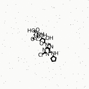 O=P(O)(O)CS(=O)(=O)C[C@H]1O[C@@H](n2cnc3c(NC4CCCC4)nc(Cl)nc32)[C@H](O)[C@@H]1O